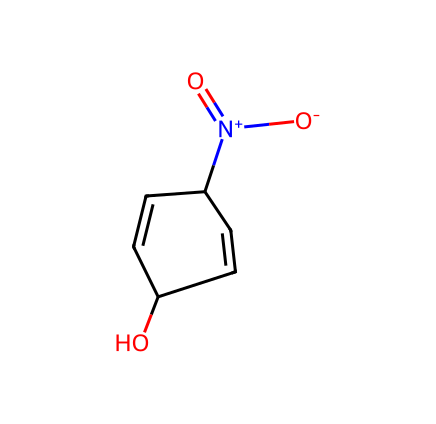 O=[N+]([O-])C1C=CC(O)C=C1